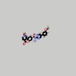 O=C1O[C@]2(CC[C@@H](C(=O)Nc3ncc(-c4cccc(OCF)c4)cn3)CC2)c2c[n+]([O-])ccc21